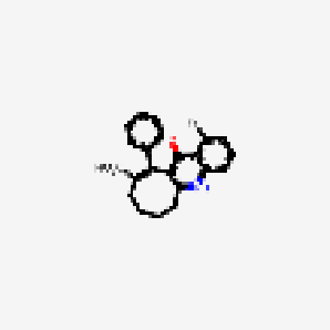 CCc1cccc2[nH]c3c(c(=O)c12)C(c1ccccc1)=C(C(=O)O)CCCC3